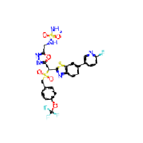 NS(=O)(=O)NCc1nnc(C(c2nc3ccc(-c4ccc(F)nc4)cc3s2)S(=O)(=O)Cc2ccc(OC(F)(F)F)cc2)o1